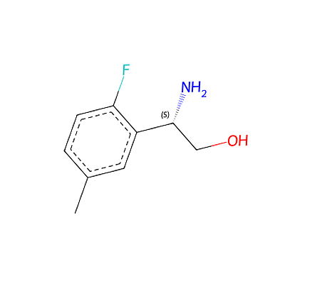 Cc1ccc(F)c([C@H](N)CO)c1